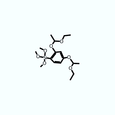 CCOC(C)Oc1ccc([Si](OC)(OC)OC)c(OC(C)OCC)c1